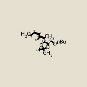 C=C/C=C\C(I)=C(/C)[C@H]1OC(C)(I)O[C@H]1COCCCC